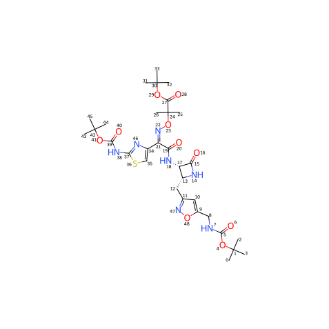 CC(C)(C)OC(=O)NCc1cc(C[C@H]2NC(=O)[C@H]2NC(=O)/C(=N\OC(C)(C)C(=O)OC(C)(C)C)c2csc(NC(=O)OC(C)(C)C)n2)no1